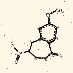 COc1ccc2c(c1)CC([N+](=O)[O-])CCC2=O